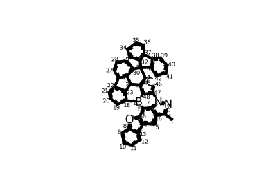 Cc1nn2c3c(c4oc5ccccc5c4cc13)B1c3cccc4c3C3c5c-4cccc5C4(c5ccccc5-c5ccccc54)c4ccc-2c1c43